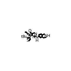 C=CCn1c(=O)c2cnc(Nc3ccc4c(c3)CCNC4)nc2n1-c1ccsc1C(C)(C)C